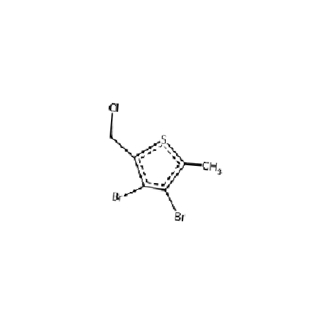 Cc1sc(CCl)c(Br)c1Br